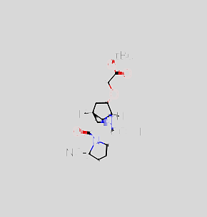 CC(C)(C)OC(=O)CO[C@@H]1C[C@@H]2C[C@H]1N(C(=O)O)[C@@H]2C(=O)N1CCC[C@H]1C#N